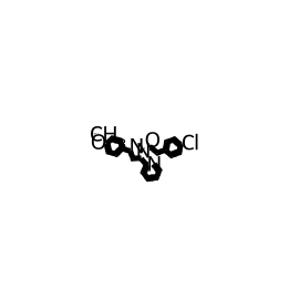 COc1ccc(C2=NN(C(=O)Cc3ccc(Cl)cc3)C(c3ccccn3)C2)cc1